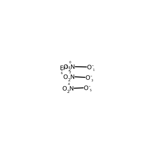 O=[N+]([O-])[O-].O=[N+]([O-])[O-].O=[N+]([O-])[O-].[Er+3]